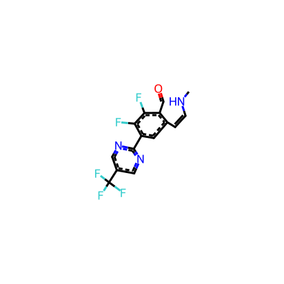 CN/C=C\c1cc(-c2ncc(C(F)(F)F)cn2)c(F)c(F)c1C=O